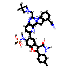 CNC(=O)c1c(-c2ccc(C)cc2)oc2cc(N(C)S(C)(=O)=O)c(-c3ccc4nc(CN5CC(C)(C)C5)n5c6cccc(C#N)c6cc5c4n3)cc12